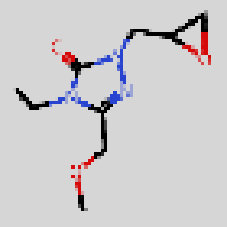 CCn1c(COC)nn(CC2CO2)c1=O